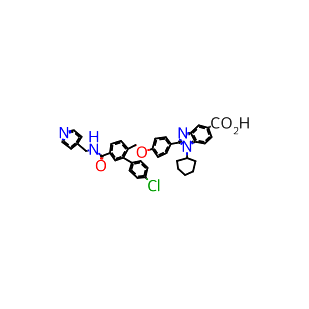 O=C(O)c1ccc2c(c1)nc(-c1ccc(OCc3ccc(C(=O)NCc4ccncc4)cc3-c3ccc(Cl)cc3)cc1)n2C1CCCCC1